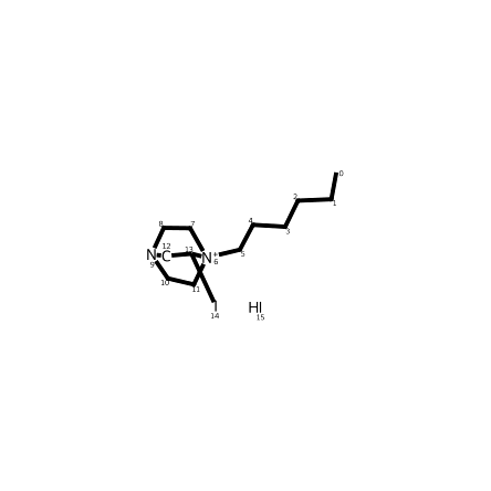 CCCCCC[N+]12CCN(CC1)CC2I.I